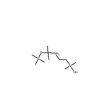 CC(C)(O[Si](C)(C)C)[SiH2]CC[Si](C)(C)O